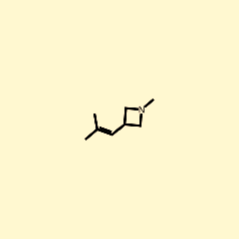 CC(C)=CC1CN(C)C1